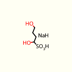 O=S(=O)(O)C(O)CCCO.[NaH]